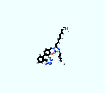 C/C=C/Cn1nc(CCCCCCCC)n(Cc2ccc(-c3ccccc3-c3nnn[nH]3)cc2)c1=O